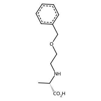 C[C@H](NCCOCc1ccccc1)C(=O)O